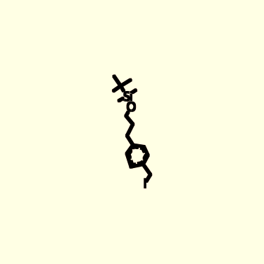 CC(C)(C)[Si](C)(C)OCCCc1ccc(CI)cc1